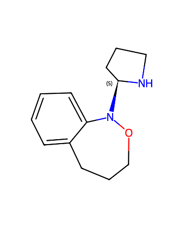 c1ccc2c(c1)CCCON2[C@H]1CCCN1